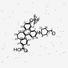 O=CC1CCN(c2ccc(C3=C(c4ccc(OC(F)(F)F)cc4)CCCc4cc(C(=O)O)ccc43)cc2)CC1